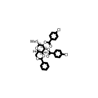 CS[C@@H]1O[C@@H]2COC(c3ccccc3)O[C@@H]2[C@H](OC(=O)c2ccc(Cl)cc2)[C@H]1OC(=O)c1ccc(Cl)cc1